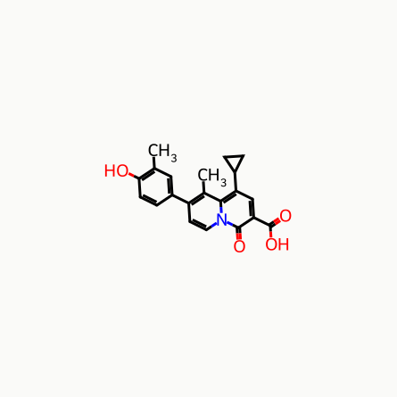 Cc1cc(-c2ccn3c(=O)c(C(=O)O)cc(C4CC4)c3c2C)ccc1O